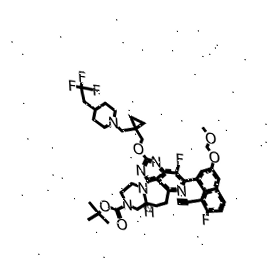 C#Cc1c(F)ccc2cc(OCOC)cc(-c3nc4c5c(nc(OCC6(CN7CCC(CC(F)(F)F)CC7)CC6)nc5c3F)N3CCN(C(=O)OC(C)(C)C)C[C@H]3CC4)c12